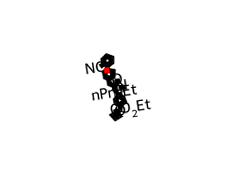 CCCc1c(Cc2ccc(-c3ccccc3C#N)cc2)c(=O)nc(CC)n1-c1ccc(OC2(C(=O)OCC)CCC2)cc1